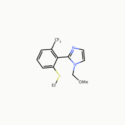 CCSc1cccc(C(F)(F)F)c1-c1nccn1COC